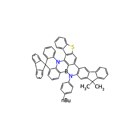 CCCCc1ccc(N2B3c4cccc5c4N(c4ccccc4C54c5ccccc5-c5ccccc54)c4c3c(cc3sc5ccccc5c43)-c3cc4c(cc32)C(C)(C)c2ccccc2-4)cc1